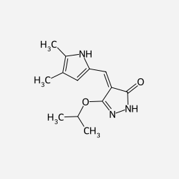 Cc1cc(C=C2C(=O)NN=C2OC(C)C)[nH]c1C